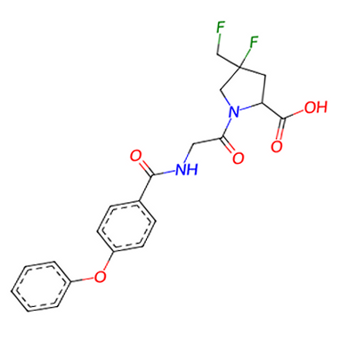 O=C(NCC(=O)N1CC(F)(CF)CC1C(=O)O)c1ccc(Oc2ccccc2)cc1